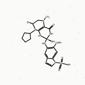 CCC1CN(C)C2=C(N[C@@](N)(Nc3cc4ccn(S(=O)(=O)C(C)C)c4cc3OC)NC2=O)N1C1CCCC1